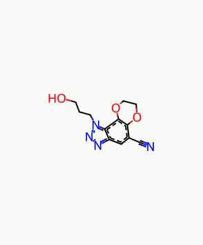 N#Cc1cc2nnn(CCCO)c2c2c1OCCO2